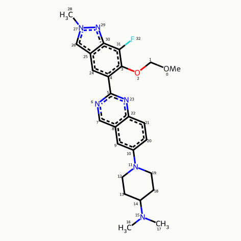 COCOc1c(-c2ncc3cc(N4CCC(N(C)C)CC4)ccc3n2)cc2cn(C)nc2c1F